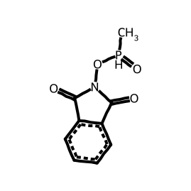 C[PH](=O)ON1C(=O)c2ccccc2C1=O